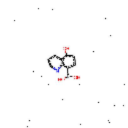 OB(O)c1ccc(O)c2cccnc12